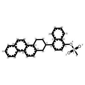 CS(=O)(=O)Oc1ccc(C2CCc3c(ccc4c3ccc3ccccc34)C2)c2ccccc12